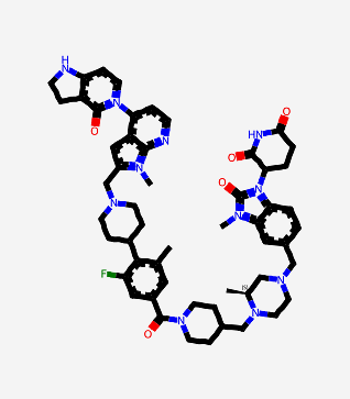 Cc1cc(C(=O)N2CCC(CN3CCN(Cc4ccc5c(c4)n(C)c(=O)n5C4CCC(=O)NC4=O)C[C@@H]3C)CC2)cc(F)c1C1CCN(Cc2cc3c(-n4ccc5c(c4=O)CCN5)ccnc3n2C)CC1